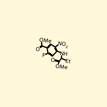 CCC(Nc1cc(F)c(C(=O)OC)cc1[N+](=O)[O-])C(=O)OC